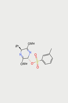 COC1=N[C@@H](C(C)C)C(OC)=N[C@@H]1OS(=O)(=O)c1cccc(C)c1